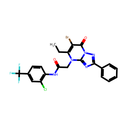 CCc1c(Br)c(=O)n2nc(-c3ccccc3)nc2n1CC(=O)Nc1ccc(C(F)(F)F)cc1Cl